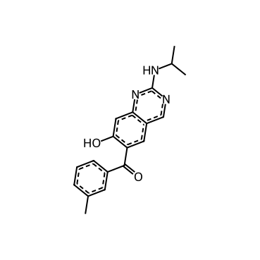 Cc1cccc(C(=O)c2cc3cnc(NC(C)C)nc3cc2O)c1